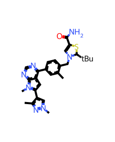 Cc1cc(-c2ncnc3c2cc(-c2cn(C)nc2C)n3C)ccc1CN1C=C(C(N)=O)SC1C(C)(C)C